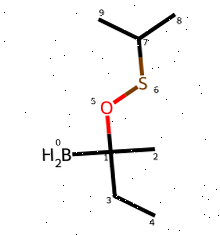 BC(C)(CC)OSC(C)C